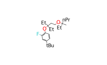 CCCC(C)(CC)OCCC(CC)(CC)Oc1ccc(C(C)(C)C)cc1F